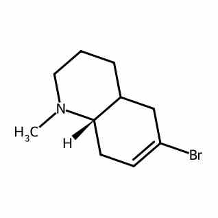 CN1CCCC2CC(Br)=CC[C@@H]21